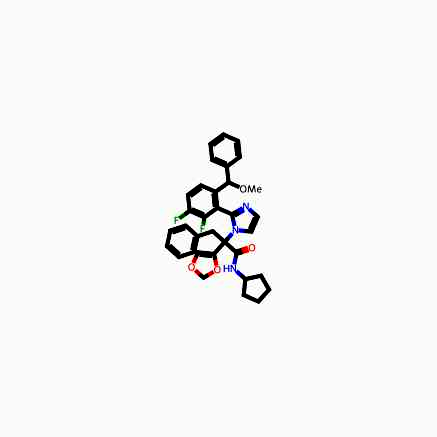 COC(c1ccccc1)c1ccc(F)c(F)c1-c1nccn1C(Cc1ccccc1)(C(=O)NC1CCCC1)C1=COCO1